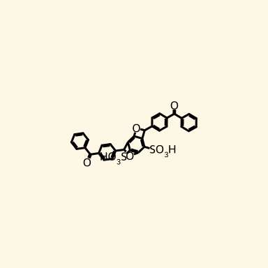 O=C(c1ccccc1)c1ccc(C2Oc3c2c(S(=O)(=O)O)c2c(S(=O)(=O)O)c3C(c3ccc(C(=O)c4ccccc4)cc3)O2)cc1